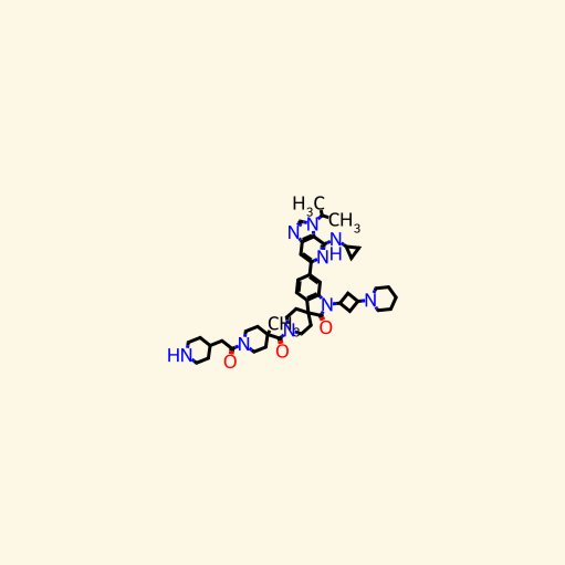 CC(C)n1cnc2cc(-c3ccc4c(c3)N(C3CC(N5CCCCC5)C3)C(=O)C43CCN(C(=O)C4(C)CCN(C(=O)CC5CCNCC5)CC4)CC3)nc(NC3CC3)c21